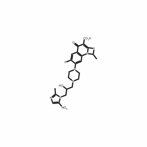 Cc1ncc([N+](=O)[O-])n1CC(O)CN1CCN(c2cc3c(cc2F)c(=O)c(C(=O)O)c2n3C(C)S2)CC1